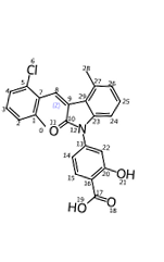 Cc1cccc(Cl)c1/C=C1\C(=O)N(c2ccc(C(=O)O)c(O)c2)c2cccc(C)c21